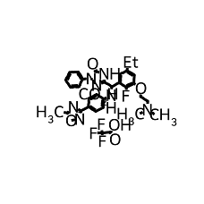 CCc1cc(OCCN(C)C)c(F)c(C(Nc2ccc(-c3noc(C)n3)cc2)c2nn(-c3ccccc3C(=O)O)c(=O)[nH]2)c1.O=C(O)C(F)(F)F